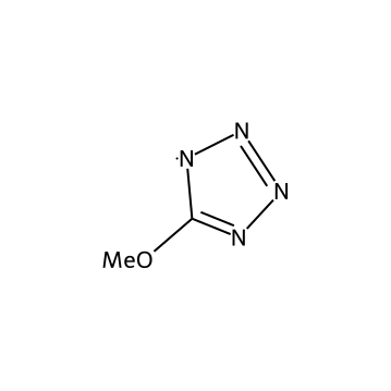 COC1=NN=N[N]1